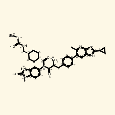 Cc1nc2nc(C3CC3)[nH]c2cc1-c1ccc(C[C@H](N)C(=O)N(c2ccc3[nH]c(=O)[nH]c3c2)C(=O)[C@H]2CC[C@H](CNC(=O)OC(C)(C)C)CC2)cc1